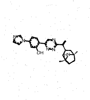 C=C(c1ncc(-c2ccc(-n3ccnc3)cc2O)nn1)C1C[C@]2(C)CC[C@](C)(C1)N2